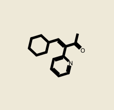 CC(=O)/C(=C/C1CCCCC1)c1ccccn1